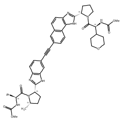 COC(=O)N[C@H](C(=O)N1[C@@H](C)CC[C@H]1c1nc2ccc(C#Cc3ccc4c(ccc5nc([C@@H]6CCCN6C(=O)[C@@H](NC(=O)OC)C6CCOCC6)[nH]c54)c3)cc2[nH]1)C(C)C